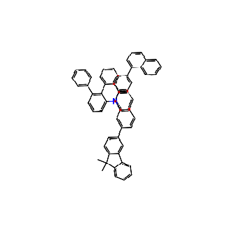 CC1(C)c2ccccc2-c2cc(-c3cccc(N(c4ccc(-c5cccc6ccccc56)cc4)c4cccc(-c5ccccc5)c4-c4ccccc4-c4ccccc4)c3)ccc21